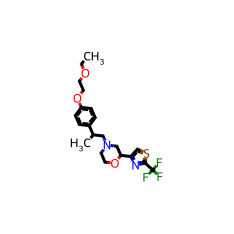 CCOCCOc1ccc(C(C)CN2CCOC(c3csc(C(F)(F)F)n3)C2)cc1